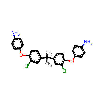 Nc1ccc(Oc2ccc(C(c3ccc(Oc4ccc(N)cc4)c(Cl)c3)(C(F)(F)F)C(F)(F)F)cc2Cl)cc1